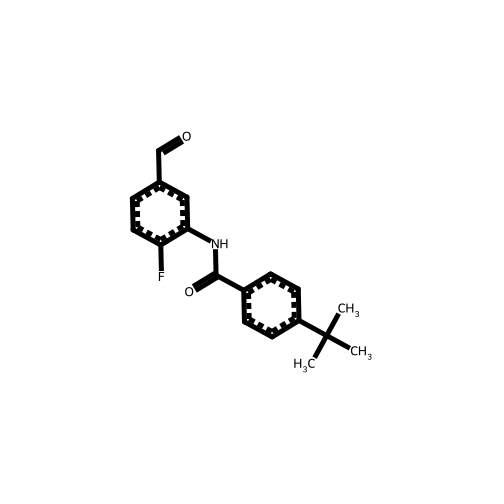 CC(C)(C)c1ccc(C(=O)Nc2cc(C=O)ccc2F)cc1